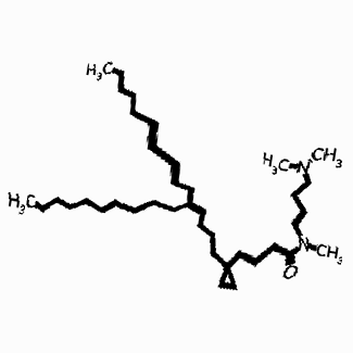 CCCCCCCCCCC(=CCCCC1(CCCC(=O)N(C)CCCCN(C)C)CC1)CCCCCCCCCC